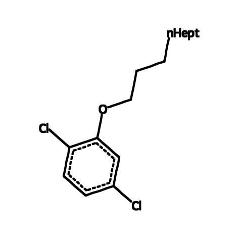 CCCCCCCCCCOc1cc(Cl)ccc1Cl